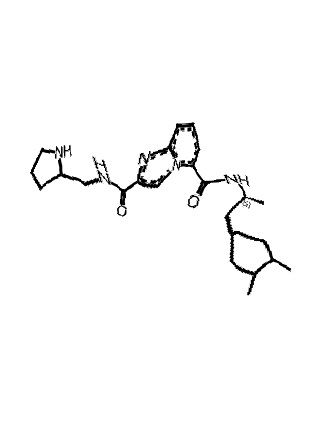 CC1CC(C[C@H](C)NC(=O)c2cccc3nc(C(=O)NCC4CCCN4)cn23)CC1C